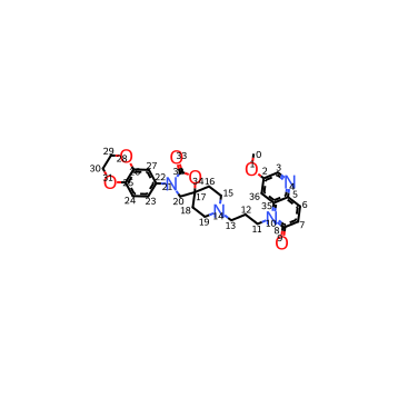 COc1cnc2ccc(=O)n(CCCN3CCC4(CC3)CN(c3ccc5c(c3)OCCO5)C(=O)O4)c2c1